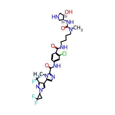 CN(CCCCNC(=O)c1ccc(NC(=O)c2ncc(-c3cn(C4CC4(F)F)nc3C(F)(F)F)n2C)cc1Cl)C(=O)N[C@H]1CNC[C@@H]1O